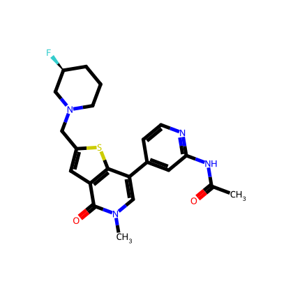 CC(=O)Nc1cc(-c2cn(C)c(=O)c3cc(CN4CCC[C@H](F)C4)sc23)ccn1